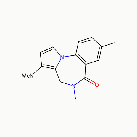 CNc1ccn2c1CN(C)C(=O)c1cc(C)ccc1-2